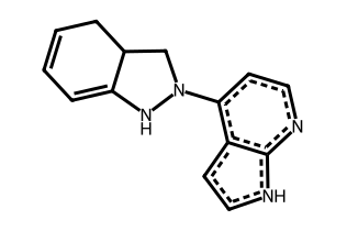 C1=CCC2CN(c3ccnc4[nH]ccc34)NC2=C1